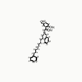 OCc1ccc(O)c(C(O)CN(CCCCCCOCCCCc2ccccc2)Cc2ccccc2)c1